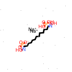 O=P([O-])([O-])C(CCCCCCCCCCCC(=NO)P(=O)(O)O)=NO.[Na+].[Na+]